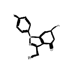 CC(C)Cc1nn(-c2ccc(I)cc2)c2c1C(=O)CC(C(C)C)C2